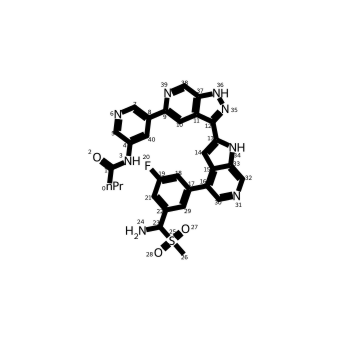 CCCC(=O)Nc1cncc(-c2cc3c(-c4cc5c(-c6cc(F)cc(C(N)S(C)(=O)=O)c6)cncc5[nH]4)n[nH]c3cn2)c1